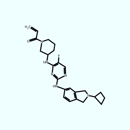 C=CC(=O)N1CCCC(Nc2nc(Nc3ccc4c(c3)CN(C3CCC3)C4)ncc2F)C1